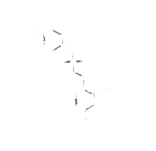 COc1ccc(CS(=O)(=O)/C=C/c2ccc(OC)cc2OC)cc1